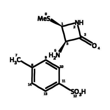 CS[C@H]1NC(=O)[C@H]1N.Cc1ccc(S(=O)(=O)O)cc1